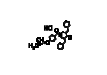 CN(C)CCOc1ccc(C(=O)N2CC(=Cc3ccccc3)C(=O)C(=Cc3ccccc3)C2)cc1.Cl